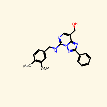 COc1ccc(CNc2ncc(CO)c3nc(-c4ccccc4)nn23)cc1OC